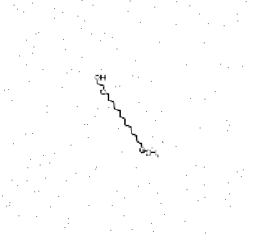 COCCCCCCCCCCCCCOCCO